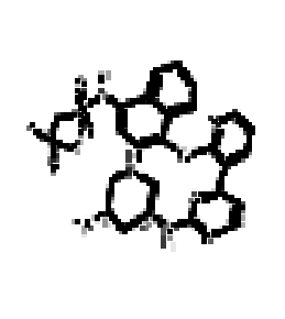 C[C@H]1CNC[C@@H](Nc2nccc(-c3cccnc3Oc3ccc(NS(=O)(=O)CC(F)(F)F)c4ccccc34)n2)C1